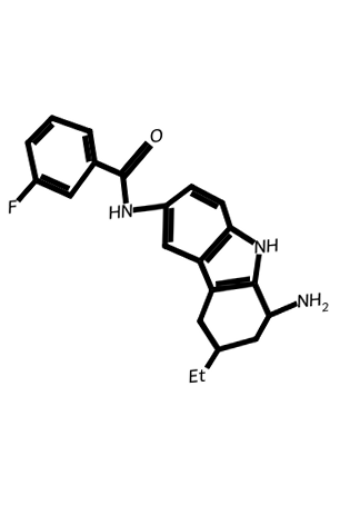 CCC1Cc2c([nH]c3ccc(NC(=O)c4cccc(F)c4)cc23)C(N)C1